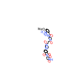 COc1cccc(C(=O)N[C@H]2CCN(C(=O)CCC(=O)N3CCN(c4ccc5c(c4)C(=O)N(C4CCC(=O)NC4=O)C5=O)CC3)C2)c1N